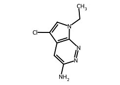 CCn1cc(Cl)c2cc(N)nnc21